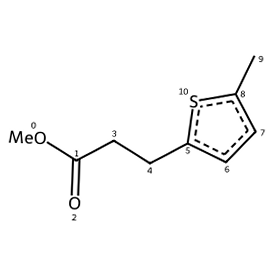 COC(=O)CCc1ccc(C)s1